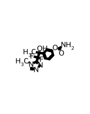 Cn1cnnc1C(F)(F)C(C)(O)c1cccc(OC(N)=O)c1